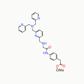 COOC(=O)Cc1ccc(NC(=O)CNCc2cccc(CN(Cc3ccccn3)Cc3ccccn3)n2)cc1